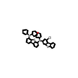 Clc1cc(N(c2ccccc2)c2cccc3c2sc2c(N(c4ccccc4)c4ccccc4)cccc23)cc2sc3ccccc3c12